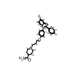 NC(=O)C1CCN(CCCOc2ccc(-n3c(-c4ccccn4)nc4cc(F)ccc43)cc2)CC1